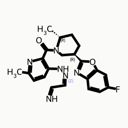 Cc1ccc(N/N=C\C=N)c(C(=O)N2C[C@H](c3nc4ccc(F)cc4o3)CC[C@H]2C)n1